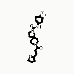 O=C(/C=C/c1ccco1)N1CCC2(CC1)CCN(C(=O)Nc1ccc(C(F)(F)F)cc1)C2